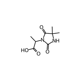 CC(C(=O)O)N1C(=O)NC(C)(C)C1=O